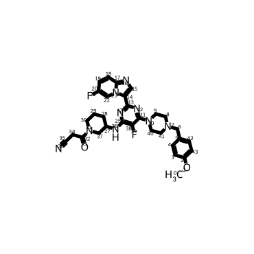 COc1ccc(CN2CCN(c3nc(-c4cnc5ccc(F)cn45)nc(NC4CCCN(C(=O)CC#N)C4)c3F)CC2)cc1